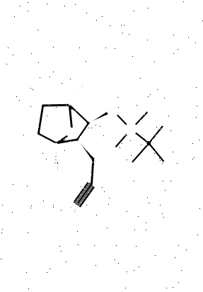 CC(C)(C)[Si](C)(C)O[C@H]1[C@@H](CC#N)[C@H]2CC[C@@H]1O2